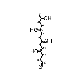 CC(O)CCC(O)CCC(O)CCC(O)CCC=O